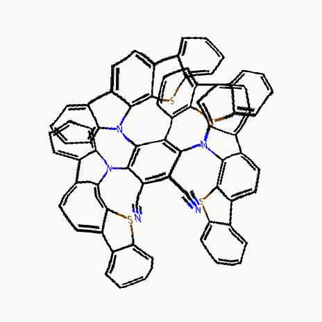 N#Cc1c(C#N)c(-n2c3ccccc3c3ccc4c5ccccc5sc4c32)c(-n2c3ccccc3c3ccc4c5ccccc5sc4c32)c(-c2cccc3c2sc2ccccc23)c1-n1c2ccccc2c2ccc3c4ccccc4sc3c21